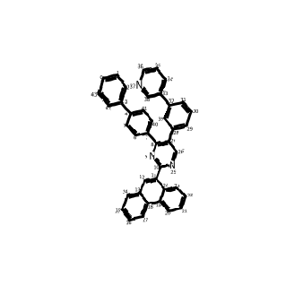 c1ccc(-c2ccc(-c3nc(-c4cc5ccccc5c5ccccc45)ncc3-c3cccc(-c4cccnc4)c3)cc2)cc1